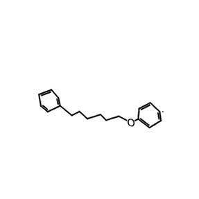 [c]1ccc(OCCCCCCc2ccccc2)cc1